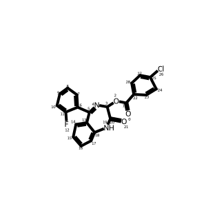 O=C(OC1N=C(c2ccccc2F)c2ccccc2NC1=O)c1ccc(Cl)cc1